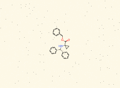 O=C(OCc1ccccc1)C1(NC(c2ccccc2)c2ccccc2)CC1